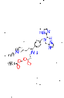 CCCN(CCC)CCCCC(NCCC(=O)OCOC(=O)C(C)(C)C)c1ccc(CN(Cc2ncc[nH]2)C(C)c2ncc[nH]2)cc1